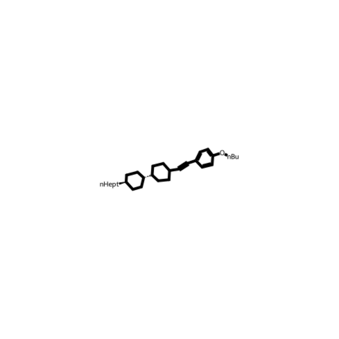 CCCCCCC[C@H]1CC[C@H](C2CCC(C#Cc3ccc(OCCCC)cc3)CC2)CC1